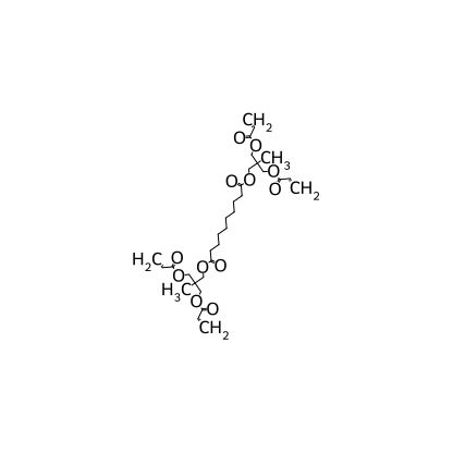 C=CC(=O)OCC(C)(COC(=O)C=C)COC(=O)CCCCCCCCC(=O)OCC(C)(COC(=O)C=C)COC(=O)C=C